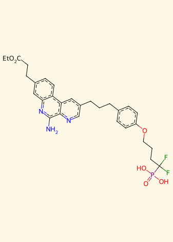 CCOC(=O)CCc1ccc2c(c1)nc(N)c1ncc(CCCc3ccc(OCCCC(F)(F)P(=O)(O)O)cc3)cc12